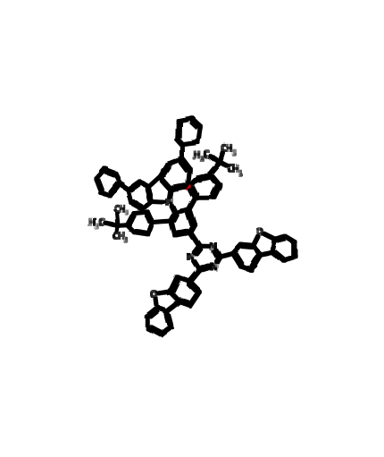 CC(C)(C)c1ccc(-c2cc(-c3nc(-c4ccc5c(c4)oc4ccccc45)nc(-c4ccc5c(c4)oc4ccccc45)n3)cc(-c3ccc(C(C)(C)C)cc3)c2-n2c3ccc(-c4ccccc4)cc3c3cc(C4C=CC=CC4)ccc32)cc1